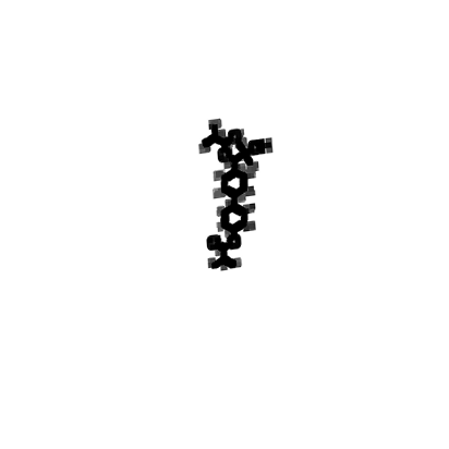 C=C(C)C(=O)Oc1ccc(-c2ccc(C(OC(=O)C(=C)C)C(C)(C)O)cc2)cc1